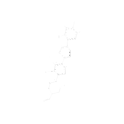 C=CC1CCC(c2ccc(-c3ccc(-c4ccc(C)c(F)c4F)cc3)c(F)c2F)OC1